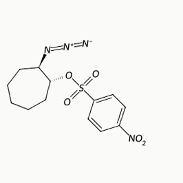 [N-]=[N+]=N[C@@H]1CCCCC[C@H]1OS(=O)(=O)c1ccc([N+](=O)[O-])cc1